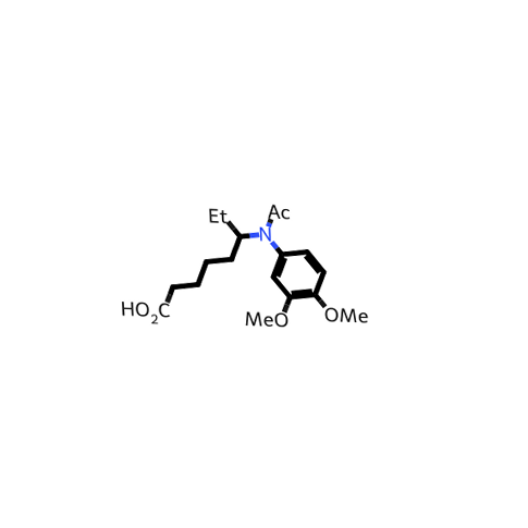 CCC(CCCCC(=O)O)N(C(C)=O)c1ccc(OC)c(OC)c1